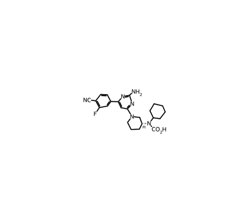 N#Cc1ccc(-c2cc(N3CCC[C@@H](N(C(=O)O)C4CCCCC4)C3)nc(N)n2)cc1F